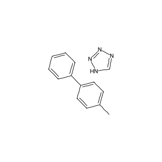 Cc1ccc(-c2ccccc2)cc1.c1nnn[nH]1